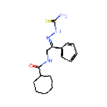 NC(=S)N/N=C(/CNC(=O)C1CCCCC1)c1ccccc1